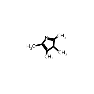 CC1=NC(C)=C(C)C1C